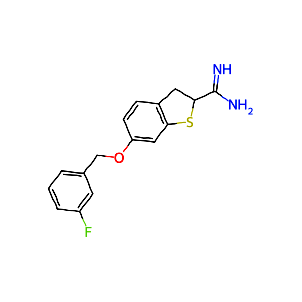 N=C(N)C1Cc2ccc(OCc3cccc(F)c3)cc2S1